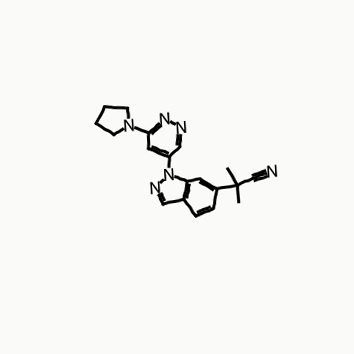 CC(C)(C#N)c1ccc2cnn(-c3cnnc(N4CCCC4)c3)c2c1